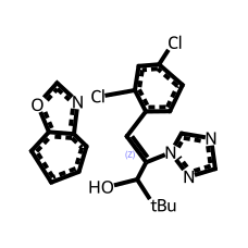 CC(C)(C)C(O)/C(=C/c1ccc(Cl)cc1Cl)n1cncn1.c1ccc2ocnc2c1